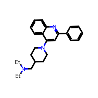 CCN(CC)CC1CCN(c2cc(-c3ccccc3)nc3ccccc23)CC1